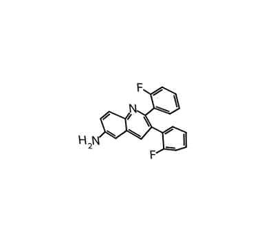 Nc1ccc2nc(-c3ccccc3F)c(-c3ccccc3F)cc2c1